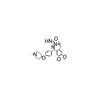 CNC(=O)N1N=C(c2ccc(OC3CCN(C)CC3)cc2)c2cc(OC)c(OC)cc2C[C@@H]1C